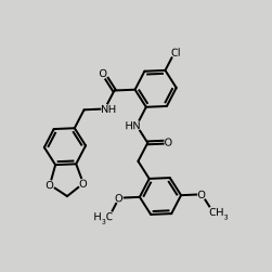 COc1ccc(OC)c(CC(=O)Nc2ccc(Cl)cc2C(=O)NCc2ccc3c(c2)OCO3)c1